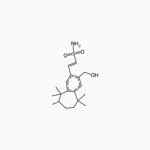 CC1CCC(C)(C)c2cc(CO)c(/C=C/S(N)(=O)=O)cc2C1(C)C